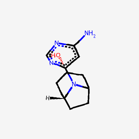 Nc1cc(N2C3CC[C@@H]2C[C@H](O)C3)ncn1